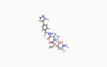 Cc1ncsc1-c1ccc(C(C)NC(=O)C2CCCN2C(=O)C(/C(O)=C/C(C)N)C(C)C)cc1